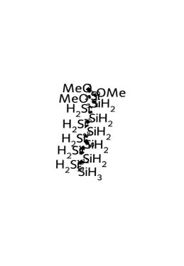 CO[Si](OC)(OC)[SiH2][SiH2][SiH2][SiH2][SiH2][SiH2][SiH2][SiH2][SiH2][SiH2][SiH3]